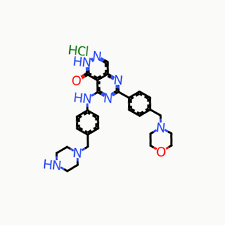 Cl.O=c1[nH]ncc2nc(-c3ccc(CN4CCOCC4)cc3)nc(Nc3ccc(CN4CCNCC4)cc3)c12